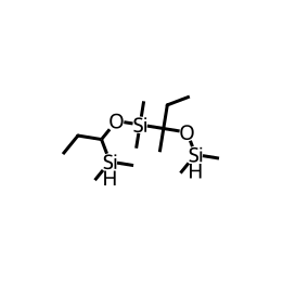 CCC(O[Si](C)(C)C(C)(CC)O[SiH](C)C)[SiH](C)C